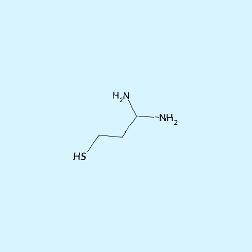 NC(N)CCS